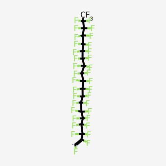 F/[C]=C(\F)C(F)(F)C(F)(F)C(F)(F)C(F)(F)C(F)(F)C(F)(F)C(F)(F)C(F)(F)C(F)(F)C(F)(F)C(F)(F)C(F)(F)C(F)(F)C(F)(F)C(F)(F)C(F)(F)C(F)(F)F